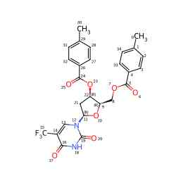 Cc1ccc(C(=O)OC[C@H]2O[C@@H](n3cc(C(F)(F)F)c(=O)[nH]c3=O)C[C@H]2OC(=O)c2ccc(C)cc2)cc1